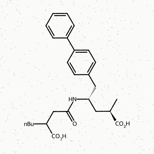 CCCCC(CC(=O)N[C@H](Cc1ccc(-c2ccccc2)cc1)C[C@@H](C)C(=O)O)C(=O)O